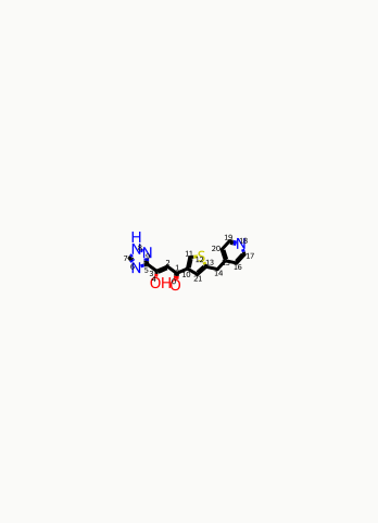 O=C(C=C(O)c1nc[nH]n1)c1csc(Cc2ccncc2)c1